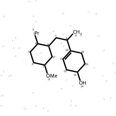 COC1CCC(C(C)C)C(CC(C)C2=CCC(O)CC2)C1